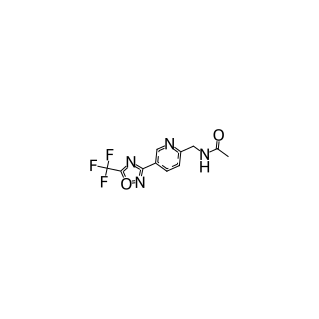 CC(=O)NCc1ccc(-c2noc(C(F)(F)F)n2)cn1